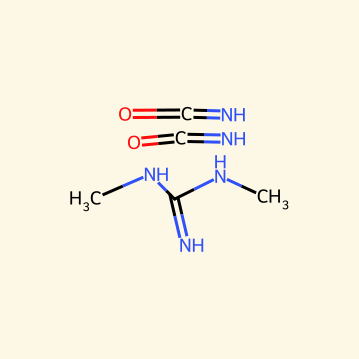 CNC(=N)NC.N=C=O.N=C=O